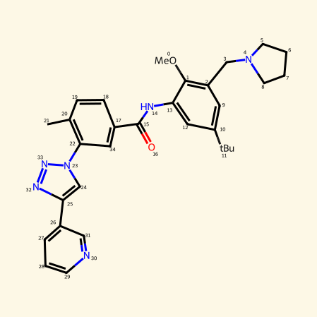 COc1c(CN2CCCC2)cc(C(C)(C)C)cc1NC(=O)c1ccc(C)c(-n2cc(-c3cccnc3)nn2)c1